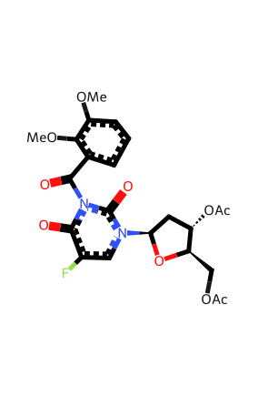 COc1cccc(C(=O)n2c(=O)c(F)cn([C@H]3C[C@H](OC(C)=O)[C@@H](COC(C)=O)O3)c2=O)c1OC